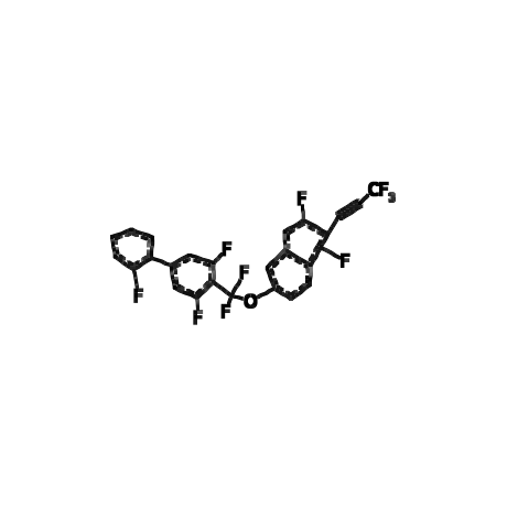 Fc1ccccc1-c1cc(F)c(C(F)(F)Oc2ccc3c(F)c(C#CC(F)(F)F)c(F)cc3c2)c(F)c1